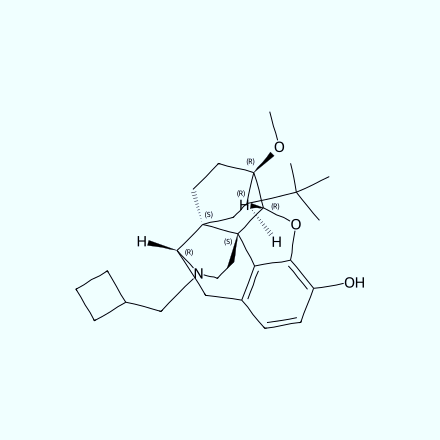 CO[C@]12CC[C@@]3(C[C@@H]1C(C)(C)C)[C@H]1Cc4ccc(O)c5c4[C@@]3(CCN1CC1CCC1)[C@H]2O5